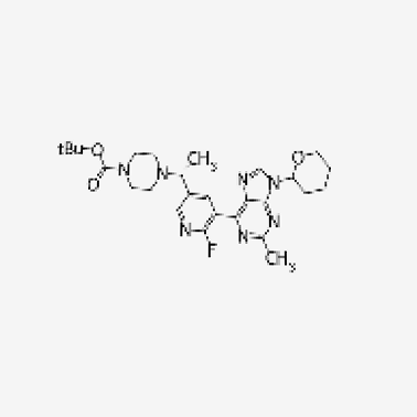 Cc1nc(-c2cc([C@@H](C)N3CCN(C(=O)OC(C)(C)C)CC3)cnc2F)c2ncn(C3CCCCO3)c2n1